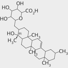 CC1CCC2(C)CCC3C(=CCC4C3(C)CCC3C4(C)CCC(CC4OC(C(=O)O)C(O)C(O)C4O)[C@@]3(C)O)C2C1